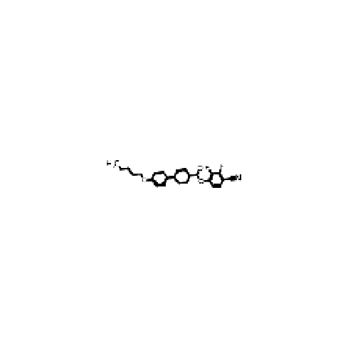 CCCCCOc1ccc(C2CCC(C(=O)Oc3ccc(C#N)c(F)c3F)CC2)cc1